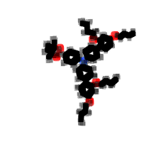 CCCCOc1ccc(-c2ccc(N(c3ccc(B4OC(C)(C)C(C)(C)O4)cc3)c3ccc(-c4ccc(OCCCC)cc4OCCCC)cc3)cc2)c(OCCCC)c1